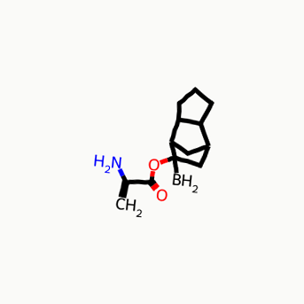 BC1(OC(=O)C(=C)N)CC2CC1C1CCCC21